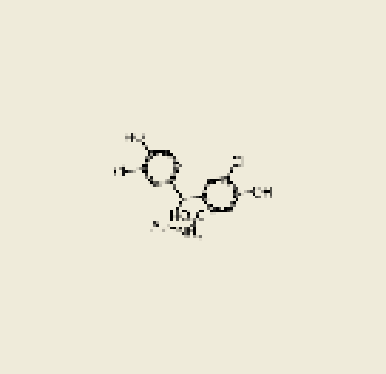 CC(N)=O.O=C(O)C(c1ccc(O)c(Cl)c1)c1ccc(O)c(Cl)c1